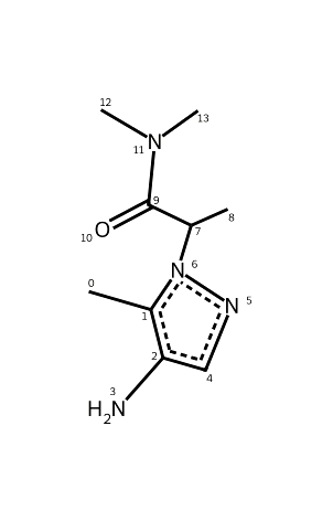 Cc1c(N)cnn1C(C)C(=O)N(C)C